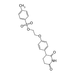 Cc1ccc(S(=O)(=O)OCCOc2ccc(C3CCC(=O)NC3=O)cc2)cc1